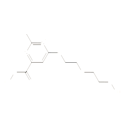 COCCOCCOc1cc(C(=O)OC)nc(Cl)n1